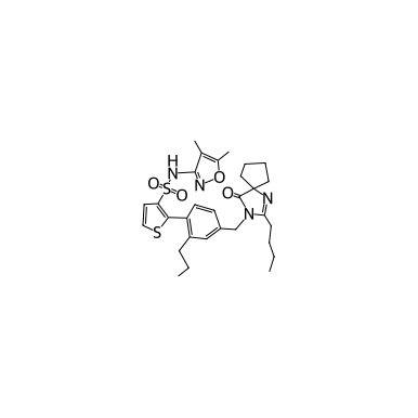 CCCCC1=NC2(CCCC2)C(=O)N1Cc1ccc(-c2sccc2S(=O)(=O)Nc2noc(C)c2C)c(CCC)c1